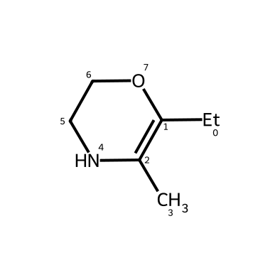 CCC1=C(C)NCCO1